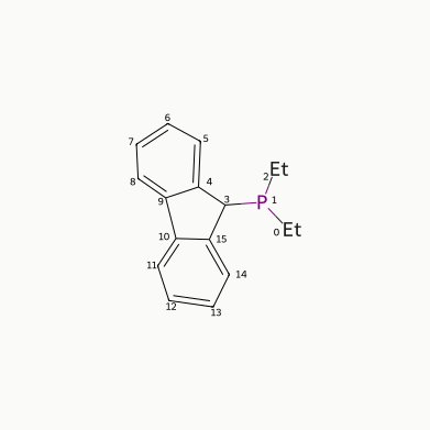 CCP(CC)C1c2ccccc2-c2ccccc21